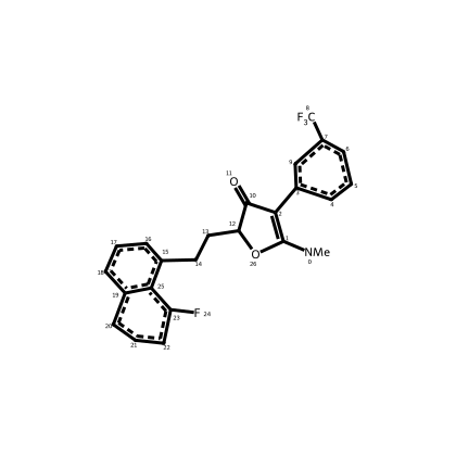 CNC1=C(c2cccc(C(F)(F)F)c2)C(=O)C(CCc2cccc3cccc(F)c23)O1